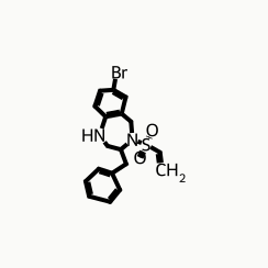 C=CS(=O)(=O)N1Cc2cc(Br)ccc2NCC1Cc1ccccc1